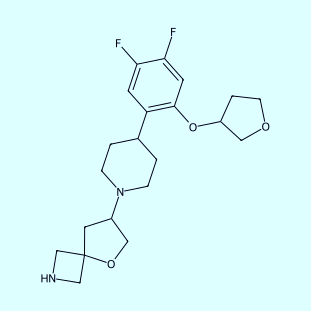 Fc1cc(OC2CCOC2)c(C2CCN(C3COC4(CNC4)C3)CC2)cc1F